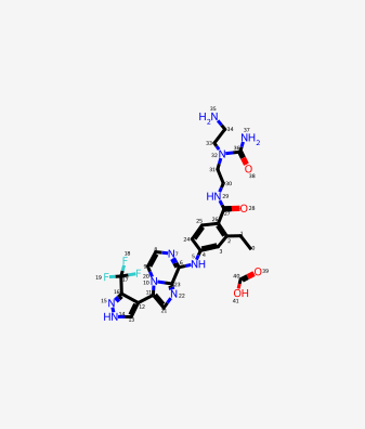 CCc1cc(Nc2nccn3c(-c4c[nH]nc4C(F)(F)F)cnc23)ccc1C(=O)NCCN(CCN)C(N)=O.O=CO